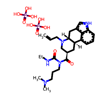 C=CCN1C[C@H](C(=O)N(CCCN(C)C)C(=O)NCC)C[C@@H]2c3cccc4[nH]cc(c34)C[C@H]21.O=P(O)(O)O.O=P(O)(O)O